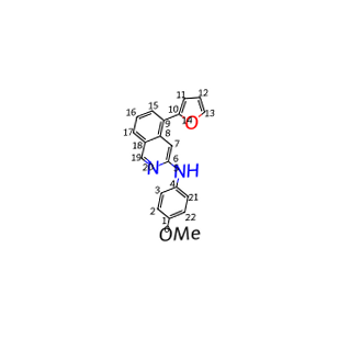 COc1ccc(Nc2cc3c(-c4ccco4)cccc3cn2)cc1